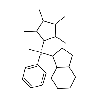 CC1C(C)C(C)C(S(C)(c2ccccc2)C2CCC3CCCCC32)C1C